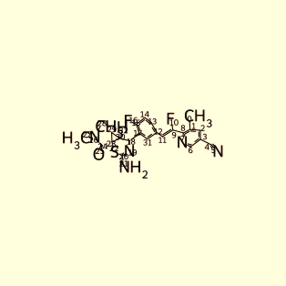 Cc1cc(C#N)cnc1/C(F)=C/c1ccc(F)c([C@H]2N=C(N)S[C@@]3(C(=O)N(C)C)C[C@@H]23)c1